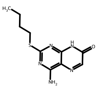 CCCCSc1nc(N)c2ncc(=O)[nH]c2n1